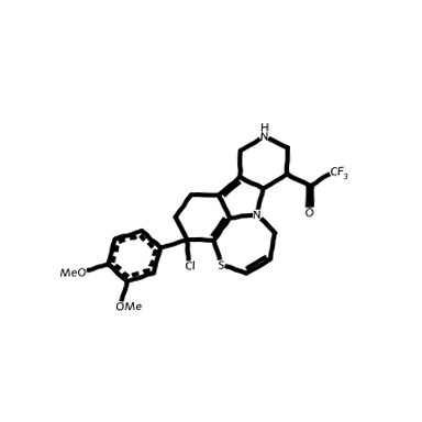 COc1ccc(C2(Cl)CCC3=C4CNCC(C(=O)C(F)(F)F)C4N4CC=CSC2=C34)cc1OC